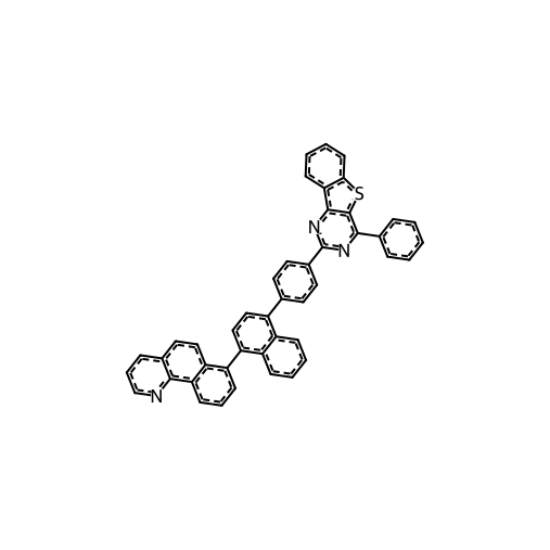 c1ccc(-c2nc(-c3ccc(-c4ccc(-c5cccc6c5ccc5cccnc56)c5ccccc45)cc3)nc3c2sc2ccccc23)cc1